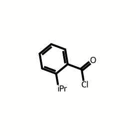 CC(C)c1ccccc1C(=O)Cl